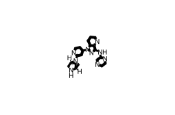 c1cnc2c(Nc3cnccn3)nn(-c3ccnc(N4C[C@@H]5C[C@H]4CN5)c3)c2c1